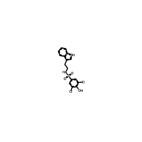 O=S(=O)(NCCc1c[nH]c2ccccc12)c1cc(Cl)c(O)c(Cl)c1